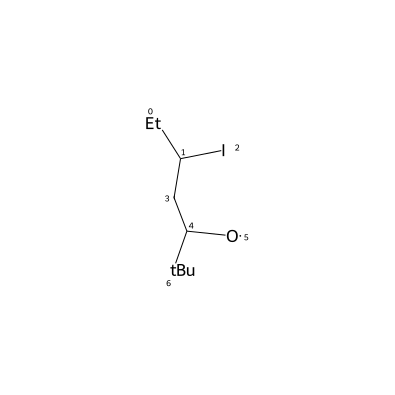 CCC(I)CC([O])C(C)(C)C